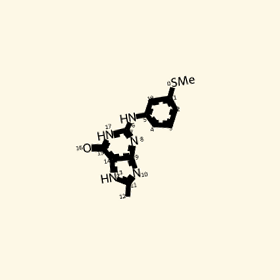 CSc1cccc(Nc2nc3nc(C)[nH]c3c(=O)[nH]2)c1